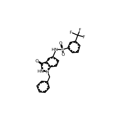 O=c1[nH]n(Cc2ccccc2)c2ccc(NS(=O)(=O)c3cccc(C(F)(F)F)c3)cc12